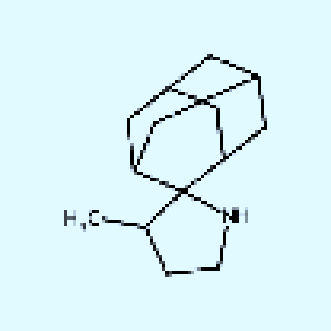 CC1CCNC12C1CC3CC(C1)CC2C3